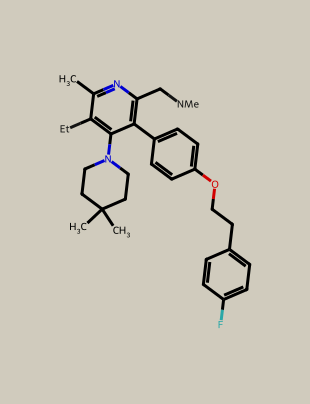 CCc1c(C)nc(CNC)c(-c2ccc(OCCc3ccc(F)cc3)cc2)c1N1CCC(C)(C)CC1